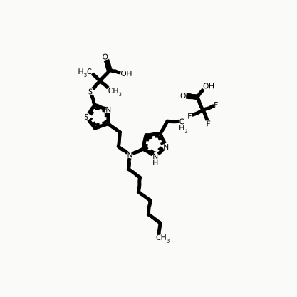 CCCCCCCN(CCc1csc(SC(C)(C)C(=O)O)n1)c1cc(CC)n[nH]1.O=C(O)C(F)(F)F